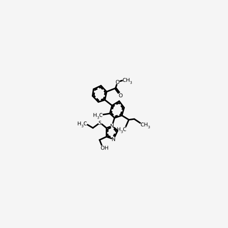 CCSc1c(CO)ncn1-c1c(C(C)CC)ccc(-c2ccccc2C(=O)OC)c1C